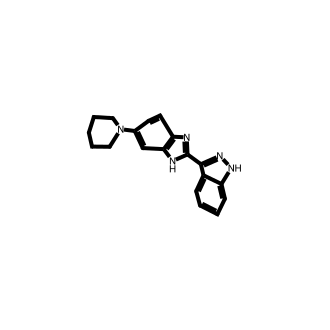 c1ccc2c(-c3nc4ccc(N5CCCCC5)cc4[nH]3)n[nH]c2c1